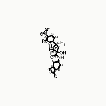 CC(C)(CC(O)(C(=O)Nc1ccc2c(c1)COC2=O)C(F)(F)F)c1ccc([N+](=O)[O-])c(F)c1